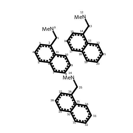 CNCc1cccc2ccccc12.CNCc1cccc2ccccc12.CNCc1cccc2ccccc12